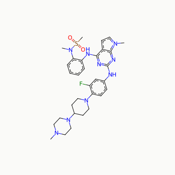 CN1CCN(C2CCN(c3ccc(Nc4nc(Nc5ccccc5N(C)S(C)(=O)=O)c5ccn(C)c5n4)cc3F)CC2)CC1